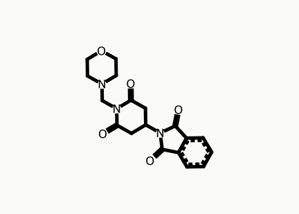 O=C1CC(N2C(=O)c3ccccc3C2=O)CC(=O)N1CN1CCOCC1